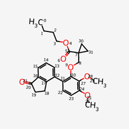 CCCCOC(=O)C1(COc2c(-c3cccc4c3CCC4=O)ccc(OC)c2OC)CC1